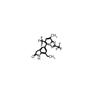 CCc1cc(-c2c(C(F)(F)F)cc(C)c3nc(C(F)(F)F)nn23)cc2c1NC(=O)C2